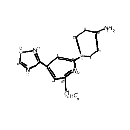 Cl.NC1CCN(c2cc(-c3ncon3)cc(Cl)n2)CC1